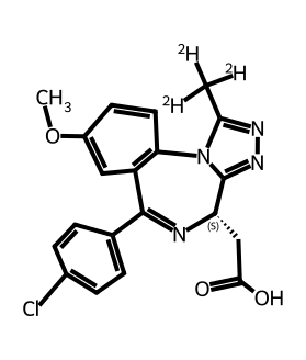 [2H]C([2H])([2H])c1nnc2n1-c1ccc(OC)cc1C(c1ccc(Cl)cc1)=N[C@H]2CC(=O)O